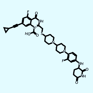 O=C1CCC(Nc2ccc(N3CCC(N4CCC(SCc5[nH]c(=O)c6c(F)cc(C#CC7CC7)cc6[n+]5C(=O)O)CC4)CC3)c(F)c2)C(=O)N1